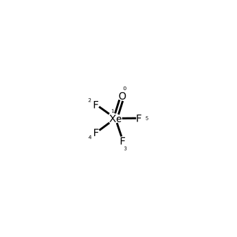 O=[Xe](F)(F)(F)F